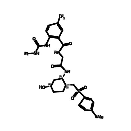 CCNC(=O)Nc1ccc(C(F)(F)F)cc1C(=O)NCC(=O)N[C@H]1C[C@@H](O)CC[C@H]1CS(=O)(=O)c1ccc(SC)cc1